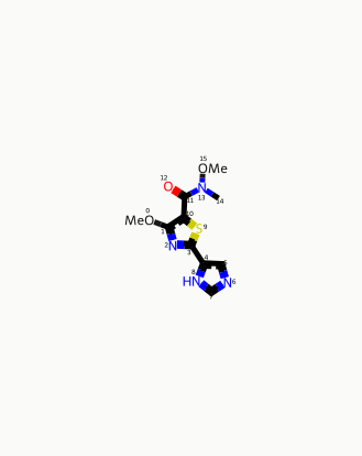 COc1nc(-c2cnc[nH]2)sc1C(=O)N(C)OC